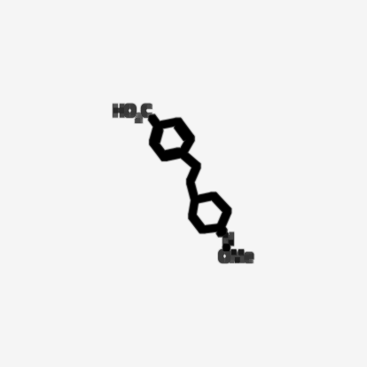 CON=C1CCC(CCc2ccc(C(=O)O)cc2)CC1